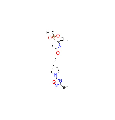 CC1=NC(OCCCC2CCN(c3nc(C(C)C)no3)CC2)CC=C1S(C)(=O)=O